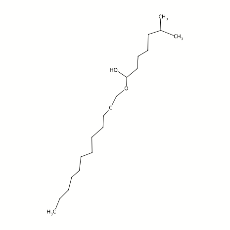 CCCCCCCCCCCCOC(O)CCCCC(C)C